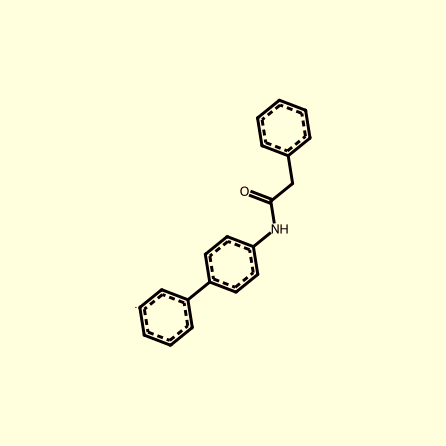 O=C(Cc1ccccc1)Nc1ccc(-c2c[c]ccc2)cc1